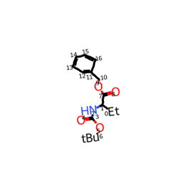 CCC(NC(=O)OC(C)(C)C)C(=O)OCc1ccccc1